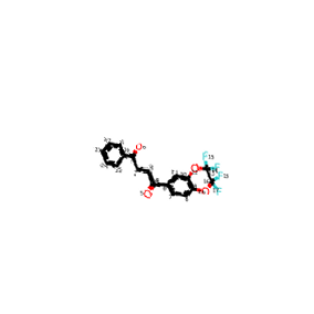 O=C(CCC(=O)c1ccc2c(c1)OC(F)(F)C(F)(F)O2)c1ccccc1